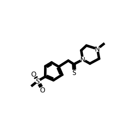 CN1CCN(C(=S)Cc2ccc(S(C)(=O)=O)cc2)CC1